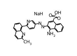 Cc1ccc2cccc(-c3ccc(N=Nc4cc(S(=O)(=O)O)c5ccccc5c4N)cn3)c2n1.[NaH]